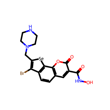 O=C(NO)c1cc2ccc3c(Br)c(CN4CCNCC4)[se]c3c2oc1=O